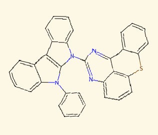 c1ccc(-n2c3ccccc3c3c4ccccc4n(-c4nc5c6c(cccc6n4)Sc4ccccc4-5)c32)cc1